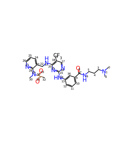 CN(C)CCCNC(=O)c1cccc(Nc2ncc(C(F)(F)F)c(NCc3cccnc3N(C)S(C)(=O)=O)n2)c1